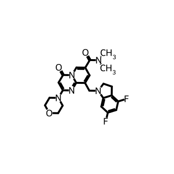 CN(C)C(=O)c1cc(CN2CCc3c(F)cc(F)cc32)c2nc(N3CCOCC3)cc(=O)n2c1